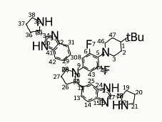 CC(C)(C)C1CCN(c2c(F)cc(N3[C@@H](c4ccc5nc([C@@H]6CCCN6)[nH]c5c4)CC[C@@H]3c3ccc4nc([C@@H]5CCCN5)[nH]c4c3)cc2F)CC1